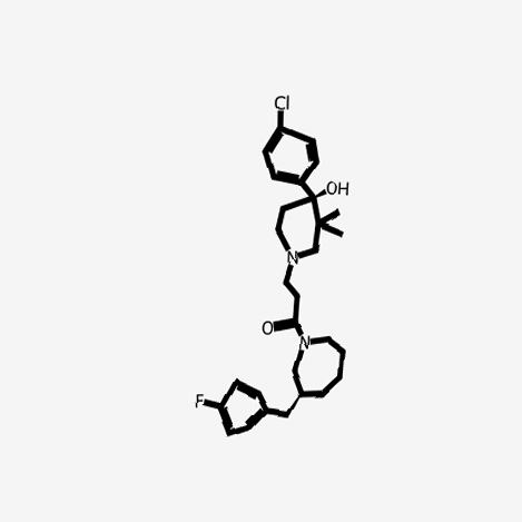 CC1(C)CN(CCC(=O)N2CCCC[C@@H](Cc3ccc(F)cc3)C2)CC[C@]1(O)c1ccc(Cl)cc1